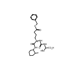 CCCCC(NC(=O)N[C@H](CCCC(=O)OCc1ccccc1)C(=O)NC1CCCCC1C)C(=O)O